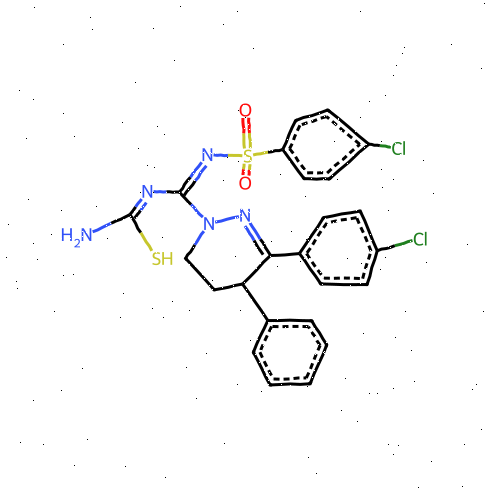 N/C(S)=N/C(=N/S(=O)(=O)c1ccc(Cl)cc1)N1CCC(c2ccccc2)C(c2ccc(Cl)cc2)=N1